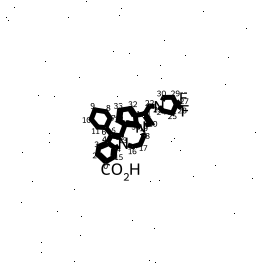 O=C(O)c1ccc2c(C3CCCCC3)c3n(c2c1)CCCn1cc(CN2CCC(F)(F)CC2)c2cccc-3c21